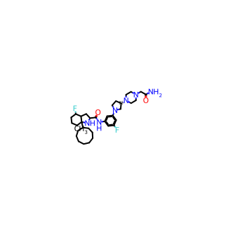 CC1CCC(F)C2CC(C(=O)Nc3cc(F)cc(N4CC[C@H](N5CCN(CC(N)=O)CC5)C4)c3)NC12C1CCCCCCCC1